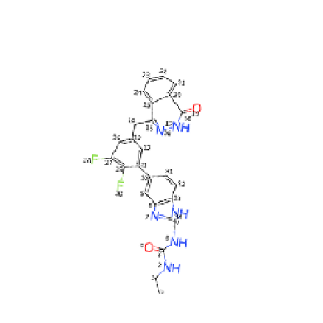 CCNC(=O)Nc1nc2cc(-c3cc(Cc4n[nH]c(=O)c5ccccc45)cc(F)c3F)ccc2[nH]1